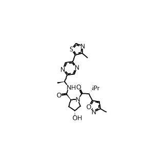 Cc1cc([C@H](C(=O)N2C[C@H](O)C[C@H]2C(=O)N[C@@H](C)c2cnc(-c3scnc3C)cn2)C(C)C)on1